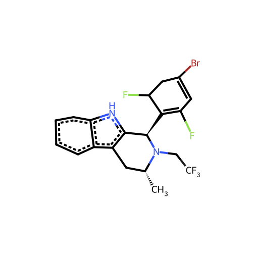 C[C@@H]1Cc2c([nH]c3ccccc23)[C@@H](C2=C(F)C=C(Br)CC2F)N1CC(F)(F)F